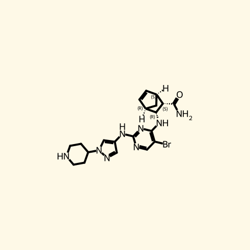 NC(=O)[C@@H]1[C@H](Nc2nc(Nc3cnn(C4CCNCC4)c3)ncc2Br)[C@H]2C=C[C@@H]1C2